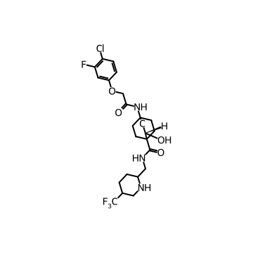 O=C(COc1ccc(Cl)c(F)c1)NC12CCC(C(=O)NCC3CCC(C(F)(F)F)CN3)(CC1)[C@@H](O)C2